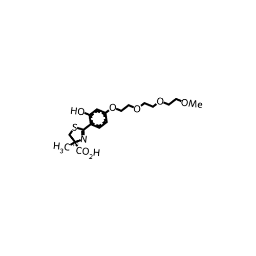 COCCOCCOCCOc1ccc(C2=N[C@@](C)(C(=O)O)CS2)c(O)c1